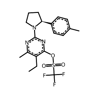 CCc1c(C)nc(N2CCC[C@H]2c2ccc(C)cc2)nc1OS(=O)(=O)C(F)(F)F